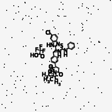 CC(C)(C)N1C(=O)CC(c2ccc(C[C@H](NC(=S)Nc3ccccc3)c3nc4ccc(Cl)cc4[nH]3)cc2)S1(=O)=O.O=C(O)C(F)(F)F